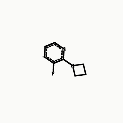 Fc1[c]ccnc1N1CCC1